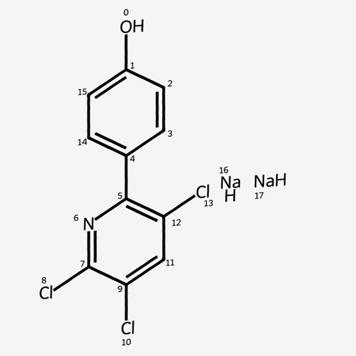 Oc1ccc(-c2nc(Cl)c(Cl)cc2Cl)cc1.[NaH].[NaH]